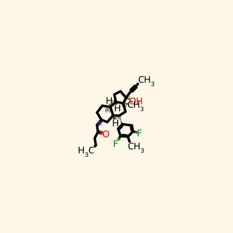 CC#C[C@]1(O)CC[C@H]2[C@@H]3CC/C(=C/C(=O)CCC)C[C@H]3[C@@H](c3cc(F)c(C)c(F)c3)C[C@@]21C